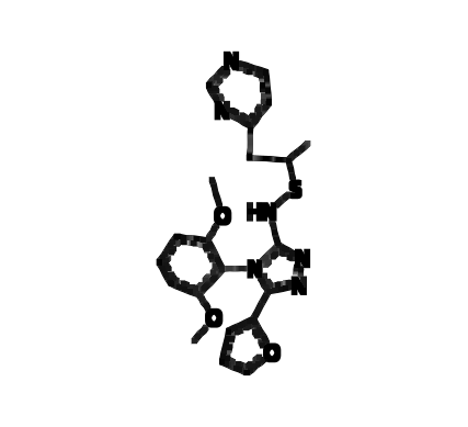 COc1cccc(OC)c1-n1c(NSC(C)Cc2ccncn2)nnc1-c1ccco1